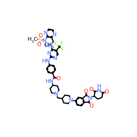 CN(c1nccnc1CNc1nc(Nc2ccc(C(=O)NC3CCN(CC4CCN(c5ccc6c(c5)C(=O)N(C5CCC(=O)NC5=O)C6=O)CC4)CC3)cc2)ncc1C(F)(F)F)S(C)(=O)=O